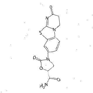 NC(=O)[C@H]1CN(c2ccc3c(c2)SC2=NC(=O)CCN23)C(=O)O1